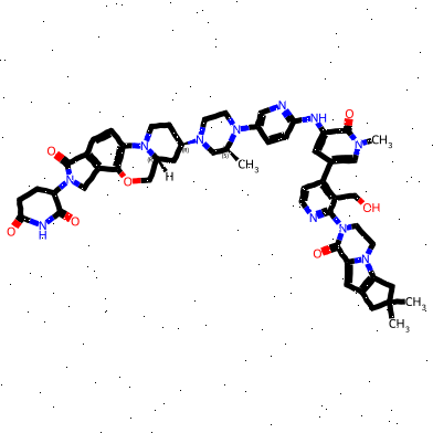 C[C@H]1CN([C@@H]2CCN3c4ccc5c(c4OC[C@H]3C2)CN(C2CCC(=O)NC2=O)C5=O)CCN1c1ccc(Nc2cc(-c3ccnc(N4CCn5c(cc6c5CC(C)(C)C6)C4=O)c3CO)cn(C)c2=O)nc1